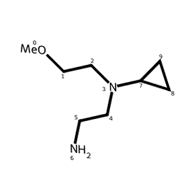 COCCN(CCN)C1CC1